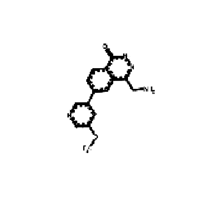 NCc1n[nH]c(=O)c2ccc(-c3cncc(OC(F)(F)F)c3)cc12